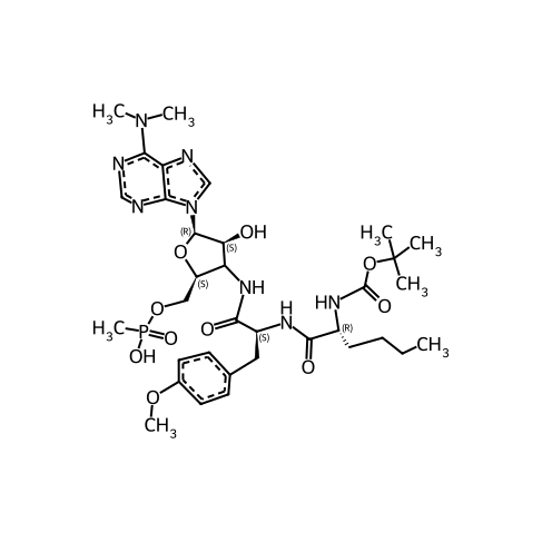 CCCC[C@@H](NC(=O)OC(C)(C)C)C(=O)N[C@@H](Cc1ccc(OC)cc1)C(=O)NC1[C@@H](COP(C)(=O)O)O[C@@H](n2cnc3c(N(C)C)ncnc32)[C@H]1O